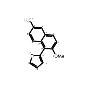 COc1ccc2cc(C)ccc2c1-c1ccco1